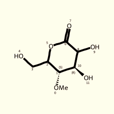 CO[C@@H]1C(CO)OC(=O)C(O)[C@H]1O